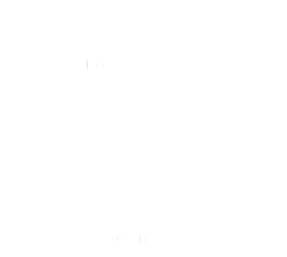 O=C(O)c1ccc(CCc2ccccc2C(=O)O)cc1